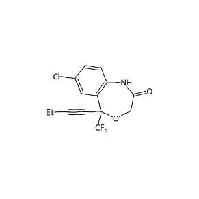 CCC#CC1(C(F)(F)F)OCC(=O)Nc2ccc(Cl)cc21